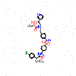 CO[C@H](c1ccc(F)cc1)c1nc(-c2ccc(S(=O)(=O)Nc3ccc(CCN(CC(O)c4cccnc4)C(=O)OC(C)(C)C)cc3)cc2)no1